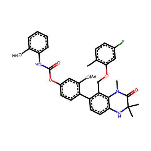 COc1ccccc1NC(=O)Oc1ccc(-c2ccc3c(c2COc2cc(F)ccc2C)N(C)C(=O)C(C)(C)N3)c(OC)c1